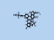 Cn1nc(N)c2c(Cl)ccc(-c3ccc(C#CC(C)(C)O)nc3/C(=C/c3cc(F)cc(F)c3)NC(=O)OC(C)(C)C)c21